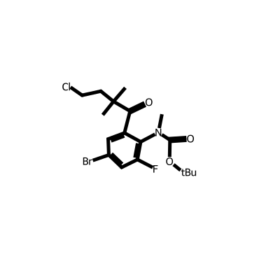 CN(C(=O)OC(C)(C)C)c1c(F)cc(Br)cc1C(=O)C(C)(C)CCCl